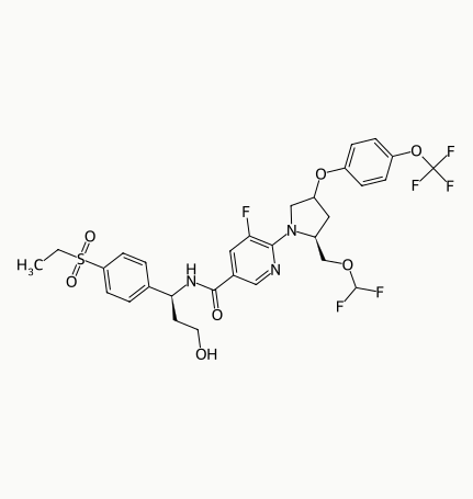 CCS(=O)(=O)c1ccc([C@H](CCO)NC(=O)c2cnc(N3CC(Oc4ccc(OC(F)(F)F)cc4)C[C@H]3COC(F)F)c(F)c2)cc1